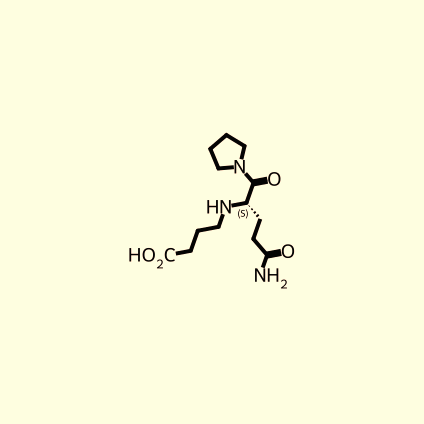 NC(=O)CC[C@H](NCCCC(=O)O)C(=O)N1CCCC1